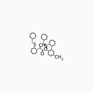 C=C(C(=O)Oc1ccc(C)cc1-c1ccccc1SCc1ccccc1)c1ccccc1SCc1ccccc1